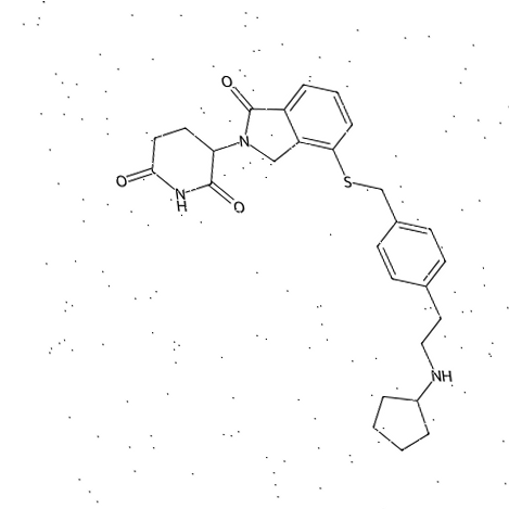 O=C1CCC(N2Cc3c(SCc4ccc(CCNC5CCCC5)cc4)cccc3C2=O)C(=O)N1